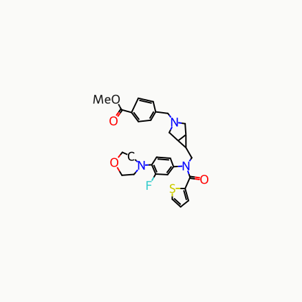 COC(=O)c1ccc(CN2CC3C(C2)C3CN(C(=O)c2cccs2)c2ccc(N3CCOCC3)c(F)c2)cc1